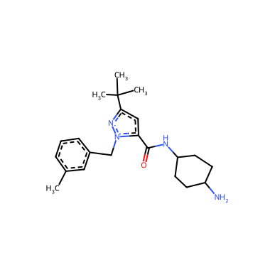 Cc1cccc(Cn2nc(C(C)(C)C)cc2C(=O)NC2CCC(N)CC2)c1